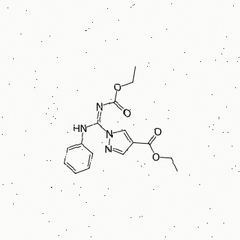 CCOC(=O)/N=C(/Nc1ccccc1)n1cc(C(=O)OCC)cn1